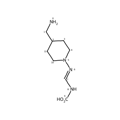 NCC1CCN(N=CNC(=O)O)CC1